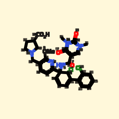 COc1nc(C2(NC(=O)c3cn(C)c(=O)n(C)c3=O)C=CC=C(c3ccccc3Cl)C2Cl)ccc1CN1CC[C@@H](C(=O)O)C1